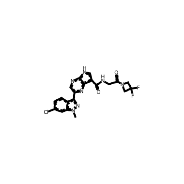 Cn1nc(-c2cnc3[nH]cc(C(=O)NCC(=O)N4CC(F)(F)C4)c3n2)c2ccc(Cl)cc21